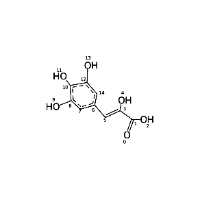 O=C(O)/C(O)=C/c1cc(O)c(O)c(O)c1